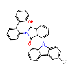 O=C1c2c(cccc2-n2c3ccccc3c3cc(C(F)(F)F)ccc32)C(O)N1c1ccccc1-c1ccccc1